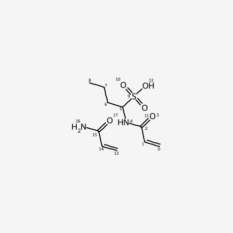 C=CC(=O)NC(CCC)S(=O)(=O)O.C=CC(N)=O